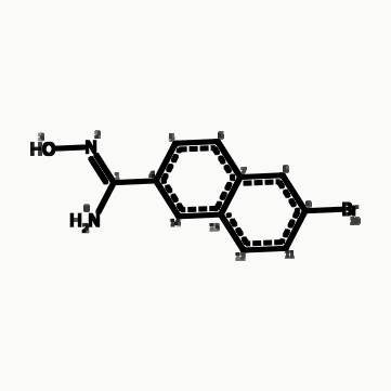 N/C(=N\O)c1ccc2cc(Br)ccc2c1